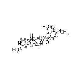 COc1ccc(C(=O)Nc2cc3[nH]c(-c4ccnc(C)c4)cc3cn2)cc1OC